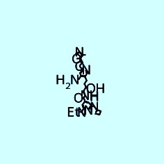 CCN(C)c1cc(C(=O)NC[C@@H](O)CCc2cnc(OCc3ocnc3C)cc2CN)cc(NC2CCC2)n1